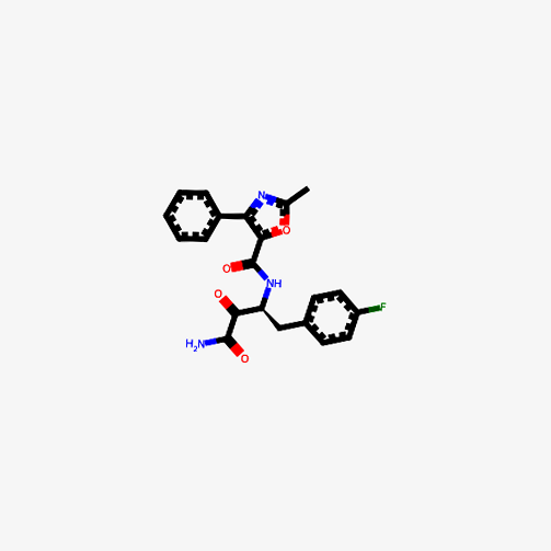 Cc1nc(-c2ccccc2)c(C(=O)N[C@@H](Cc2ccc(F)cc2)C(=O)C(N)=O)o1